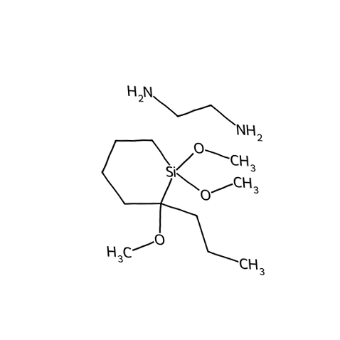 CCCC1(OC)CCCC[Si]1(OC)OC.NCCN